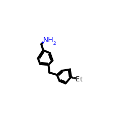 CCc1ccc(Cc2ccc(CN)cc2)cc1